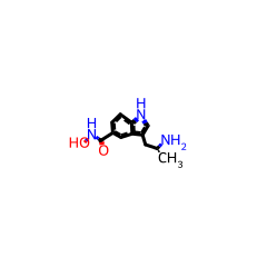 C[C@@H](N)Cc1c[nH]c2ccc(C(=O)NO)cc12